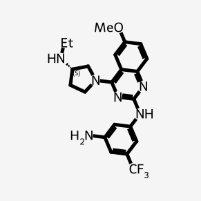 CCN[C@H]1CCN(c2nc(Nc3cc(N)cc(C(F)(F)F)c3)nc3ccc(OC)cc23)C1